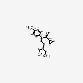 CCN(CC)CCN(C(=O)C1CC1)c1ccc(C)cc1